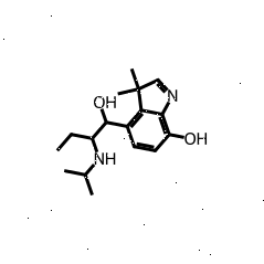 CCC(NC(C)C)C(O)c1ccc(O)c2c1C(C)(C)C=N2